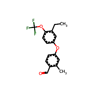 CCc1cc(Oc2ccc(C=O)c(C)c2)ccc1OC(F)(F)F